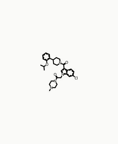 CC(C)Oc1ccccc1C1CCN(C(=O)c2cn(CC(=O)N3CCN(C)CC3)c3cc(Cl)ccc23)CC1